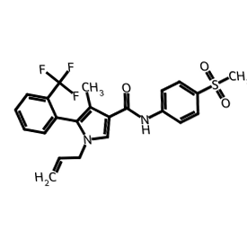 C=CCn1cc(C(=O)Nc2ccc(S(C)(=O)=O)cc2)c(C)c1-c1ccccc1C(F)(F)F